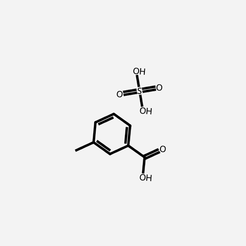 Cc1cccc(C(=O)O)c1.O=S(=O)(O)O